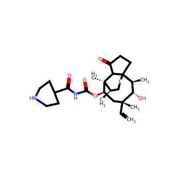 C=C[C@]1(C)C[C@@H](OC(=O)NC(=O)C2CCNCC2)[C@@]2(C)C3C(=O)CCC3(CC[C@H]2C)[C@@H](C)[C@@H]1O